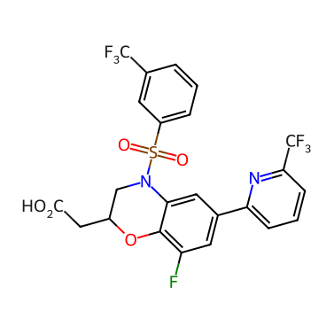 O=C(O)CC1CN(S(=O)(=O)c2cccc(C(F)(F)F)c2)c2cc(-c3cccc(C(F)(F)F)n3)cc(F)c2O1